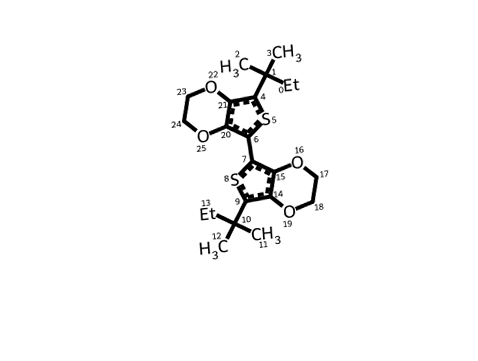 CCC(C)(C)c1sc(-c2sc(C(C)(C)CC)c3c2OCCO3)c2c1OCCO2